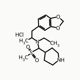 CCN(C(C)Cc1ccc2c(c1)OCO2)C(C1CCNCC1)S(C)(=O)=O.Cl